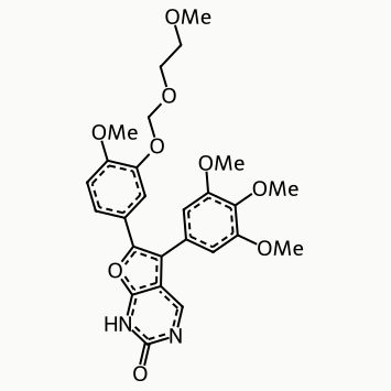 COCCOCOc1cc(-c2oc3[nH]c(=O)ncc3c2-c2cc(OC)c(OC)c(OC)c2)ccc1OC